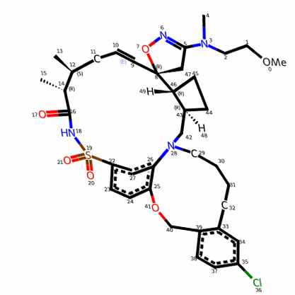 COCCN(C)C1=NO[C@]2(/C=C/C[C@H](C)[C@@H](C)C(=O)NS(=O)(=O)c3ccc4c(c3)N(CCCCc3cc(Cl)ccc3CO4)C[C@@H]3CC[C@H]32)C1